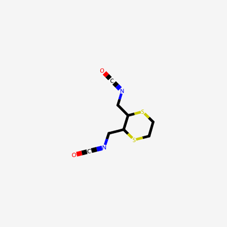 O=C=NCC1SCCSC1CN=C=O